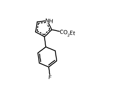 CCOC(=O)c1[nH]ccc1C1C=CC(F)=CC1